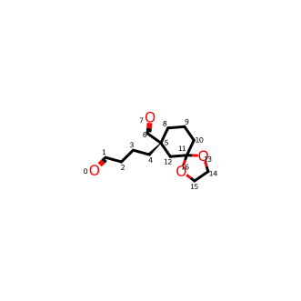 O=CCCC[C@@]1(C=O)CCCC2(C1)OCCO2